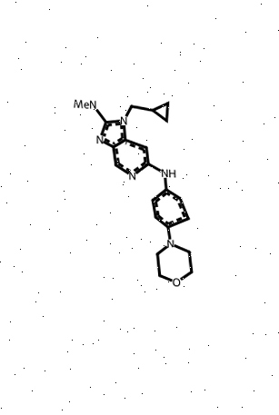 CNc1nc2cnc(Nc3ccc(N4CCOCC4)cc3)cc2n1CC1CC1